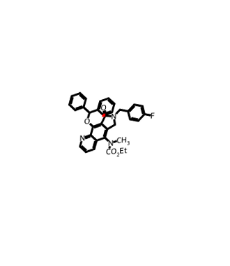 CCOC(=O)N(C)c1c2c(c(OC(c3ccccc3)c3ccccc3)c3ncccc13)C(=O)N(Cc1ccc(F)cc1)C2